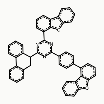 c1ccc2c(c1)CC(c1nc(-c3ccc(-c4cccc5oc6ccccc6c45)cc3)nc(-c3cccc4c3oc3ccccc34)n1)c1ccccc1-2